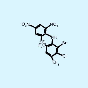 O=[N+]([O-])c1cc([N+](=O)[O-])c(Nc2c(C(F)(F)F)cc(C(F)(F)F)c(Cl)c2Br)c(C(F)(F)F)c1